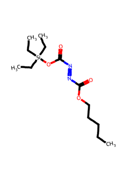 CCCCCOC(=O)/N=N/C(=O)O[Si](CC)(CC)CC